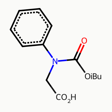 CC(C)COC(=O)N(CC(=O)O)c1ccccc1